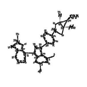 Cc1cc(F)cc2c(-c3cccc4nn(C)cc34)nn(-c3ccc(N4C[C@@H]5[C@H](C4)[C@@H]5C(=O)O)nc3)c12